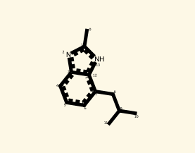 Cc1nc2cccc(CC(C)C)c2[nH]1